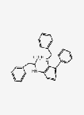 O=C(O)C(Cc1ccccc1)Nc1cccc(-c2ccccc2)c1OCc1ccccc1